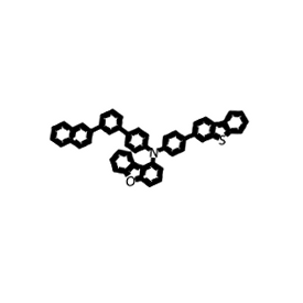 c1cc(-c2ccc(N(c3ccc(-c4ccc5c(c4)sc4ccccc45)cc3)c3cccc4oc5ccccc5c34)cc2)cc(-c2ccc3ccccc3c2)c1